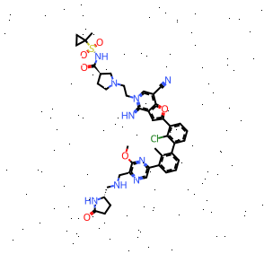 COc1nc(-c2cccc(-c3cccc(-c4cc5c(=N)n(CCN6CC[C@@H](C(=O)NS(=O)(=O)C7(C)CC7)C6)cc(C#N)c5o4)c3Cl)c2C)cnc1CNC[C@@H]1CCC(=O)N1